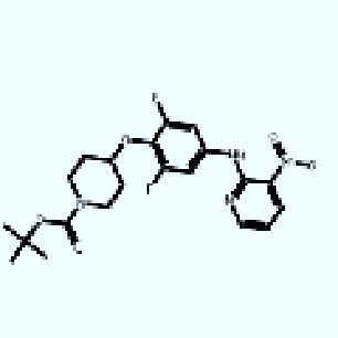 CC(C)(C)OC(=O)N1CCC(Oc2c(F)cc(Nc3ncccc3[N+](=O)[O-])cc2F)CC1